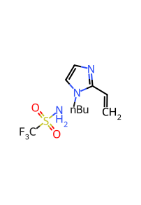 C=Cc1nccn1CCCC.NS(=O)(=O)C(F)(F)F